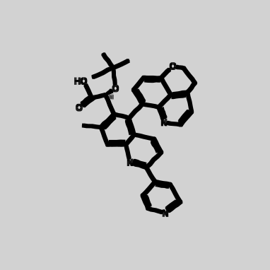 Cc1cc2nc(-c3ccncc3)ccc2c(-c2ccc3c4c(ccnc24)CCO3)c1[C@H](OC(C)(C)C)C(=O)O